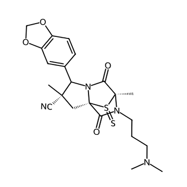 CN(C)CCCN1C(=O)[C@@]23C[C@](C)(C#N)C(c4ccc5c(c4)OCO5)N2C(=O)[C@]1(C)S3=S